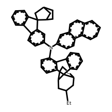 CCC1CC2CCCC(C1)C21c2ccccc2-c2c(N(c3ccc4c(c3)C3(CC5CCC3C5)c3ccccc3-4)c3ccc4c(ccc5ccccc54)c3)cccc21